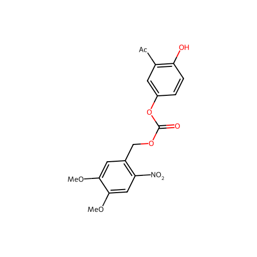 COc1cc(COC(=O)Oc2ccc(O)c(C(C)=O)c2)c([N+](=O)[O-])cc1OC